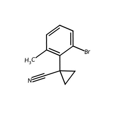 Cc1cccc(Br)c1C1(C#N)CC1